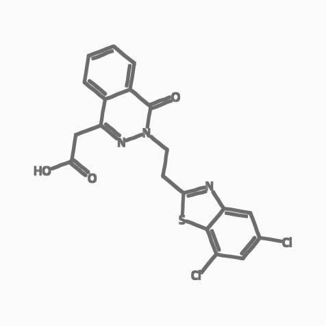 O=C(O)Cc1nn(CCc2nc3cc(Cl)cc(Cl)c3s2)c(=O)c2ccccc12